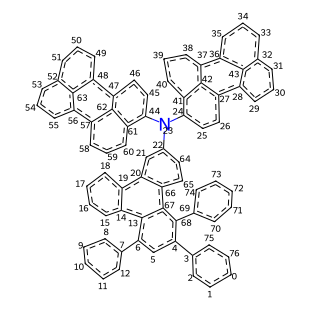 c1ccc(-c2cc(-c3ccccc3)c3c4ccccc4c4cc(N(c5ccc6c7cccc8cccc(c9cccc5c96)c87)c5ccc6c7cccc8cccc(c9cccc5c96)c87)ccc4c3c2-c2ccccc2)cc1